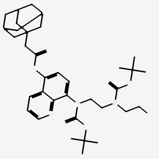 CC(C)(C)OC(=O)N(CCO)CCN(C(=O)OC(C)(C)C)c1ccc(NC(=O)CC23CC4CC(CC(C4)C2)C3)c2cccnc12